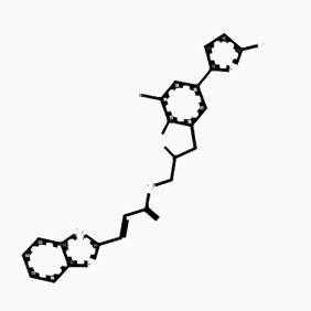 CC(=O)c1ccc(-c2cc(Cl)c3c(c2)CC(CNC(=O)C=Cc2nc4ccccc4s2)O3)s1